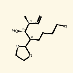 C=C[C@H](C)[C@@H](O)[C@@H](CCCCCl)C1OCCO1